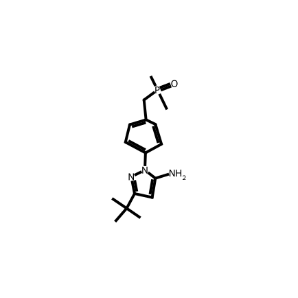 CC(C)(C)c1cc(N)n(-c2ccc(CP(C)(C)=O)cc2)n1